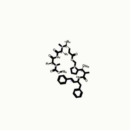 CC[C@H](C)[C@H](CCC(=O)OCN1CCCC1[C@H](OC)C(C)C(=O)NC(/C=C/c1ccccc1)Cc1ccccc1)N(C)[C@@H](C(=O)NC(=O)[C@H](C(C)C)N(C)C(=O)OC(C)(C)C)C(C)C